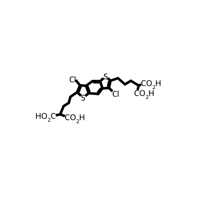 O=C(O)C(CCCc1sc2cc3c(Cl)c(CCCC(C(=O)O)C(=O)O)sc3cc2c1Cl)C(=O)O